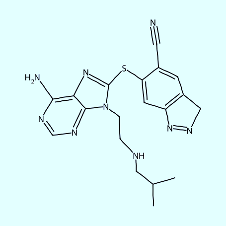 CC(C)CNCCn1c(Sc2cc3c(cc2C#N)CN=N3)nc2c(N)ncnc21